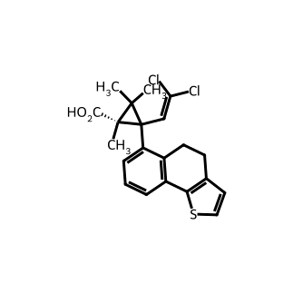 CC1(C)C(C=C(Cl)Cl)(c2cccc3c2CCc2ccsc2-3)[C@]1(C)C(=O)O